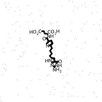 Nc1nc2[nH]c(CCCCc3ccc(C(=O)NC(CCC(=O)O)C(=O)O)cn3)cc2c(=O)[nH]1